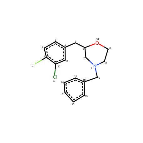 Fc1ccc(CC2CN(Cc3ccccc3)CCO2)cc1Cl